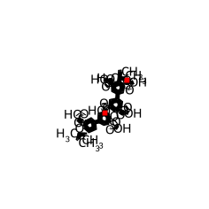 CCC(C)(CC)Oc1ccc(-c2ccc(Oc3c(S(=O)(=O)O)cc(-c4cc(S(=O)(=O)O)c(C(C)(CC)CC)c(S(=O)(=O)O)c4)cc3S(=O)(=O)O)c(S(=O)(=O)O)c2)cc1S(=O)(=O)O